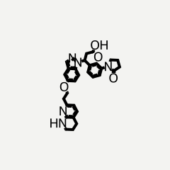 O=C(O)CC(c1cccc(N2CCCC2=O)c1)n1ncc2cc(OCCc3ccc4c(n3)NCCC4)ccc21